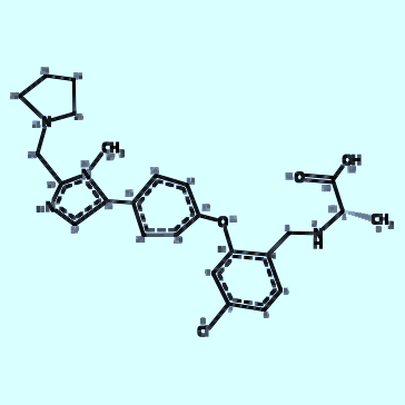 C[C@H](NCc1ccc(Cl)cc1Oc1ccc(-c2cnc(CN3CCCC3)n2C)cc1)C(=O)O